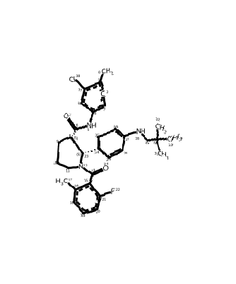 Cc1ccc(NC(=O)[C@H]2CCCN(C(=O)c3c(C)cccc3F)[C@H]2C2C=CC(NCC(C)(C)C)=CC2)cc1Cl